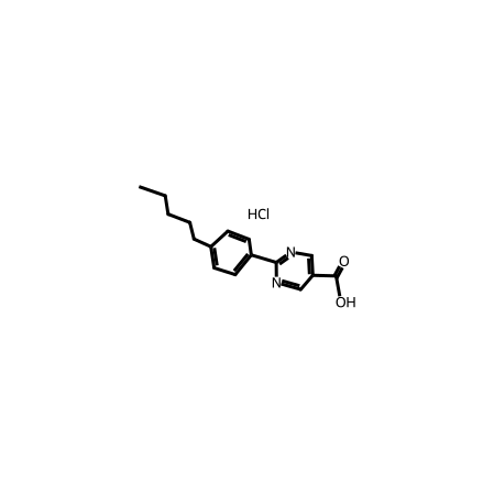 CCCCCc1ccc(-c2ncc(C(=O)O)cn2)cc1.Cl